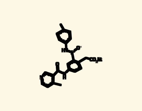 CCOC(=O)Cc1ccc(NC(=O)c2cnccc2C)cc1[S+]([O-])Nc1ccc(C)cc1